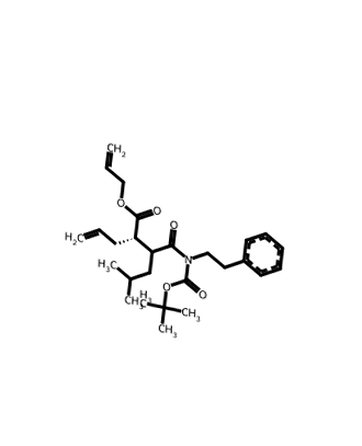 C=CCOC(=O)[C@@H](CC=C)C(CC(C)C)C(=O)N(CCc1ccccc1)C(=O)OC(C)(C)C